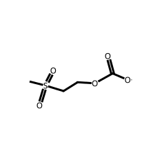 CS(=O)(=O)CCOC([O])=O